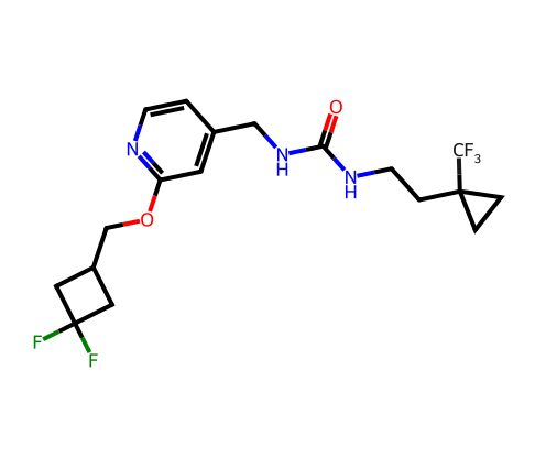 O=C(NCCC1(C(F)(F)F)CC1)NCc1ccnc(OCC2CC(F)(F)C2)c1